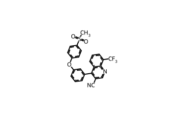 CS(=O)(=O)c1ccc(Oc2cccc(-c3c(C#N)cnc4c(C(F)(F)F)cccc34)c2)cc1